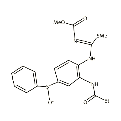 CCC(=O)Nc1cc([S+]([O-])c2ccccc2)ccc1NC(=NC(=O)OC)SC